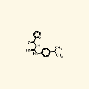 CC(C)c1ccc(NC(=N)NC(=O)c2cccs2)cc1